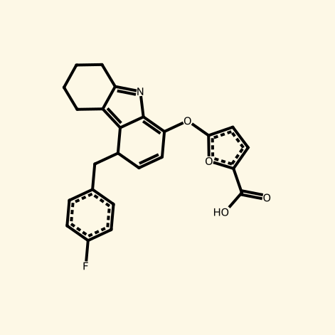 O=C(O)c1ccc(OC2=C3N=C4CCCCC4=C3C(Cc3ccc(F)cc3)C=C2)o1